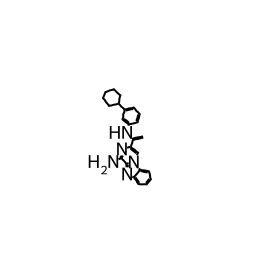 C=C(Nc1cccc(C2CCCCC2)c1)c1cn2c(nc3ccccc32)c(N)n1